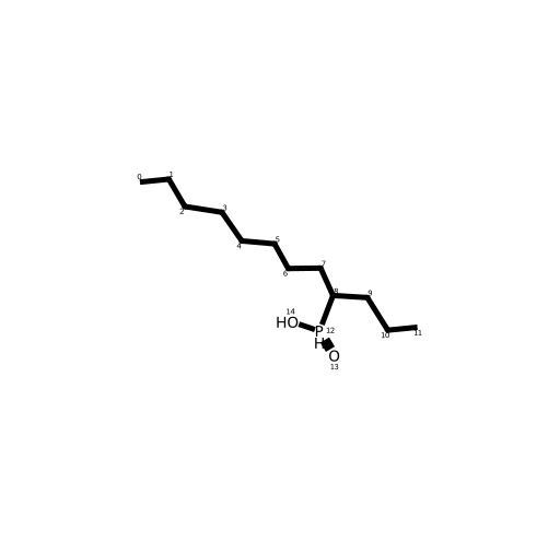 CCCCCCCCC(CCC)[PH](=O)O